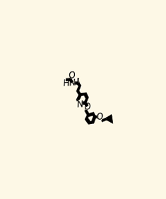 CC(=O)N[C@@H](C)CCc1ccc(OCc2cccc(OCC3CC3)c2)nc1